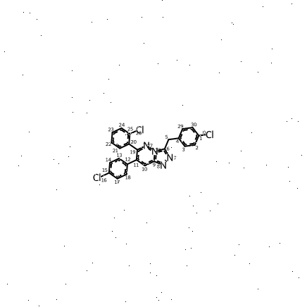 Clc1ccc(Cc2nnc3cc(-c4ccc(Cl)cc4)c(-c4ccccc4Cl)nn23)cc1